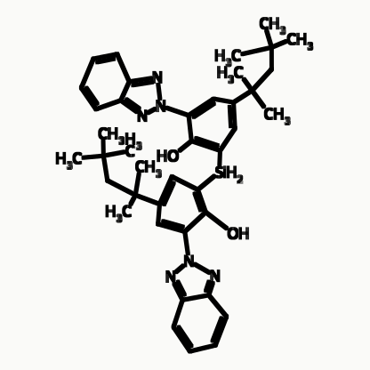 CC(C)(C)CC(C)(C)c1cc([SiH2]c2cc(C(C)(C)CC(C)(C)C)cc(-n3nc4ccccc4n3)c2O)c(O)c(-n2nc3ccccc3n2)c1